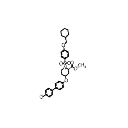 COC(=O)[C@H]1C[C@@H](Oc2ccc(-c3ccc(Cl)cc3)cc2)CCN1S(=O)(=O)c1ccc(OCC2CCCCC2)cc1